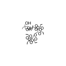 C=CC(=O)OC(CCOCCC(OC(=O)C=C)(OC(=O)C=C)OC(=O)C=C)(OC(=O)C=C)OC(=O)C=C.CCC(CO)(CO)CO